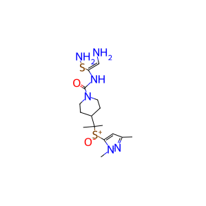 Cc1cc([S+]([O-])C(C)(C)C2CCN(C(=O)N/C(=C/N)SN)CC2)n(C)n1